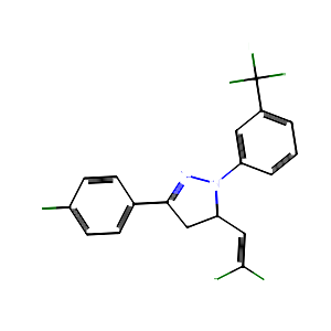 Fc1ccc(C2=NN(c3cccc(C(F)(F)F)c3)C(C=C(Cl)Cl)C2)cc1